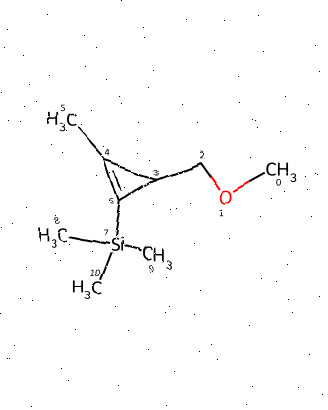 COCC1C(C)=C1[Si](C)(C)C